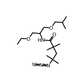 CCOCC(COCC(C)C)NC(=O)C(C)(C)CC(C)(C)N=[N+]=[N-]